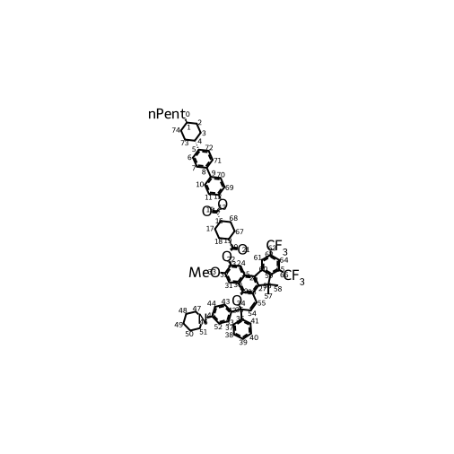 CCCCC[C@H]1CC[C@H](c2ccc(-c3ccc(OC(=O)[C@H]4CC[C@H](C(=O)Oc5cc6c7c(c8c(c6cc5OC)OC(c5ccccc5)(c5ccc(N6CCCCC6)cc5)C=C8)C(C)(C)c5c-7cc(C(F)(F)F)cc5C(F)(F)F)CC4)cc3)cc2)CC1